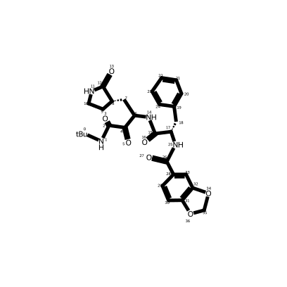 CC(C)(C)NC(=O)C(=O)C(C[C@@H]1CCNC1=O)NC(=O)[C@H](Cc1ccccc1)NC(=O)c1ccc2c(c1)OCO2